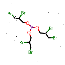 BrCC(Br)COP(OCC(Br)CBr)OCC(Br)CBr